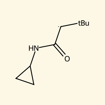 CC(C)(C)[CH]C(=O)NC1CC1